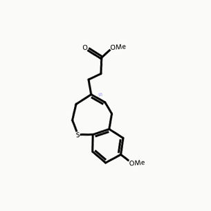 COC(=O)CC/C1=C/Cc2cc(OC)ccc2SCC1